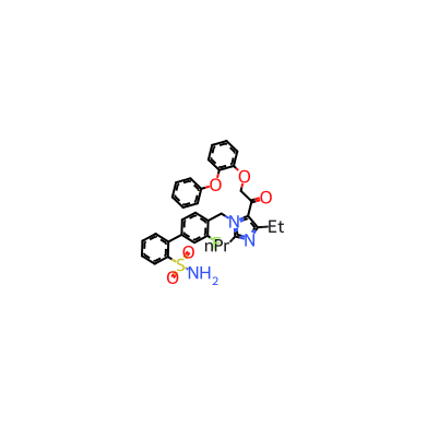 CCCc1nc(CC)c(C(=O)COc2ccccc2Oc2ccccc2)n1Cc1ccc(-c2ccccc2S(N)(=O)=O)cc1F